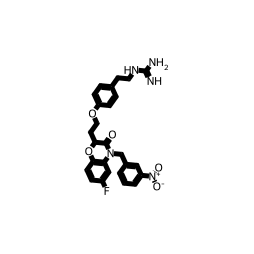 N=C(N)NCCc1ccc(OCCC2Oc3ccc(F)cc3N(Cc3cccc([N+](=O)[O-])c3)C2=O)cc1